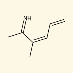 C=C/C=C(/C)C(C)=N